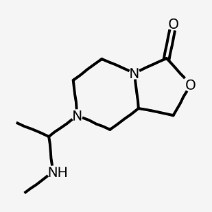 CNC(C)N1CCN2C(=O)OCC2C1